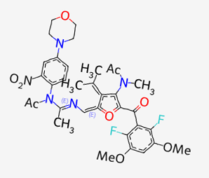 COc1cc(OC)c(F)c(C(=O)c2o/c(=C/N=C(\C)N(C(C)=O)c3ccc(N4CCOCC4)cc3[N+](=O)[O-])c(=C(C)C)c2N(C)C(C)=O)c1F